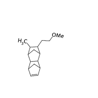 COCCC1C(C)C2CC1C1C3C=CC(C3)C21